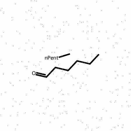 CCCCCC.CCCCCC=O